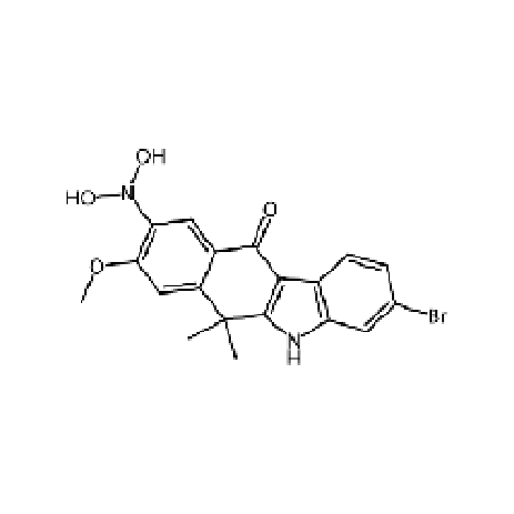 COc1cc2c(cc1N(O)O)C(=O)c1c([nH]c3cc(Br)ccc13)C2(C)C